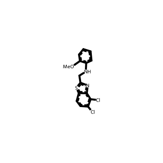 COc1ccccc1NCc1nc2c(Cl)c(Cl)ccc2s1